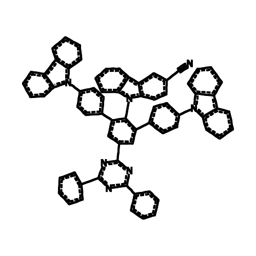 N#Cc1ccc2c(c1)c1ccccc1n2-c1c(-c2ccc(-n3c4ccccc4c4ccccc43)cc2)cc(-c2nc(-c3ccccc3)nc(-c3ccccc3)n2)cc1-c1ccc(-n2c3ccccc3c3ccccc32)cc1